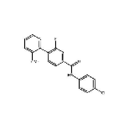 COc1cccnc1-c1ccc(C(=O)Nc2ccc(Cl)cc2)cc1F